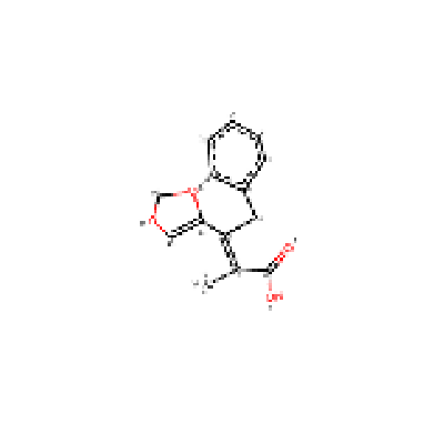 CC(C(=O)O)=C(Cc1ccccc1)C1=COCO1